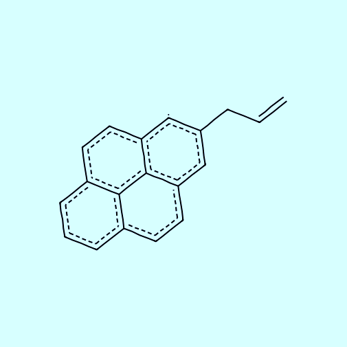 C=CCc1[c]c2ccc3cccc4ccc(c1)c2c34